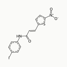 O=C(C=Cc1ccc([N+](=O)[O-])s1)Nc1ccc(I)cc1